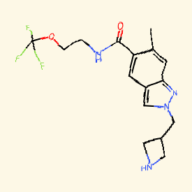 Cc1cc2nn(CC3CNC3)cc2cc1C(=O)NCCOC(F)(F)F